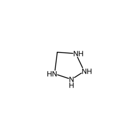 C1NNNN1